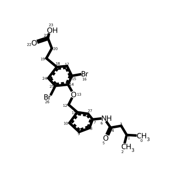 CC(C)CC(=O)Nc1cccc(COc2c(Br)cc(CCC(=O)O)cc2Br)c1